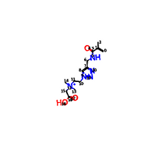 C=C(C)C(=O)NCc1cn(CC[N+](C)(C)CC(=O)O)nn1